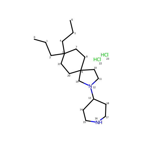 CCCC1(CCC)CCC2(CCN(C3CCNCC3)C2)CC1.Cl.Cl